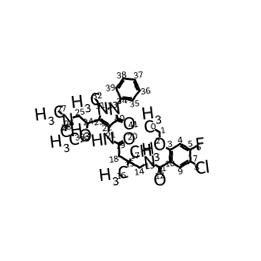 CCOc1cc(F)c(Cl)cc1C(=O)NCC(C)(C)CC(=O)Nc1c(C(CN(C)C)OC)n(C)n(-c2ccccc2)c1=O